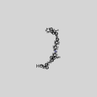 C=C(CC(=O)OC1CCCCC1)C(=O)OCCCOc1ccc(-c2ccc(/C=C/c3ccc(OC(=O)OCCCCOC(=O)C(C)CO)c(CC)c3)cc2)cc1